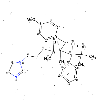 COc1ccc(CC(C)(C(C)(C)CCCN2C=NCC2)C(C)(c2ccccc2)C(C)(C)C(C)(C)C)cc1